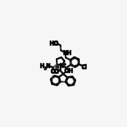 NC(=O)[C@@H]1CCC[N+]1(Cc1cc(Cl)ccc1CNCCO)C(=O)C1(O)c2ccccc2-c2ccccc21